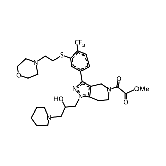 COC(=O)C(=O)N1CCc2c(c(-c3ccc(C(F)(F)F)c(SCCN4CCOCC4)c3)nn2CC(O)CN2CCCCC2)C1